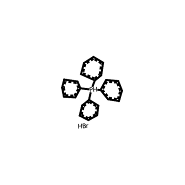 Br.c1ccc([PH](c2ccccc2)(c2ccccc2)c2ccccc2)cc1